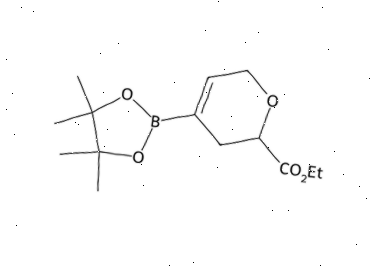 CCOC(=O)C1CC(B2OC(C)(C)C(C)(C)O2)=CCO1